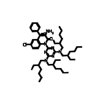 CCCCC(CC)CN(CC(CC)CCCC)c1nc(N(CC(CC)CCCC)CC(CC)CCCC)nc(N(C(=O)C(N)=O)c2ccc(Cl)cc2C(=O)c2ccccc2)n1